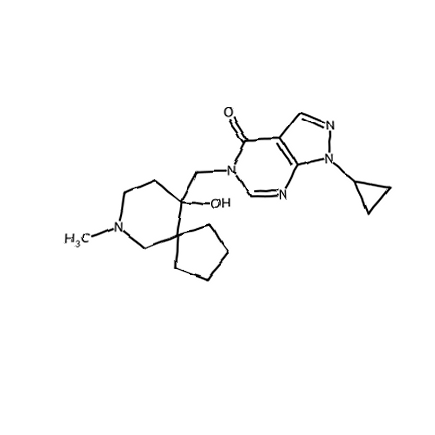 CN1CCC(O)(Cn2cnc3c(cnn3C3CC3)c2=O)C2(CCCC2)C1